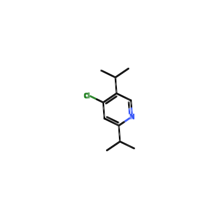 CC(C)c1cc(Cl)c(C(C)C)cn1